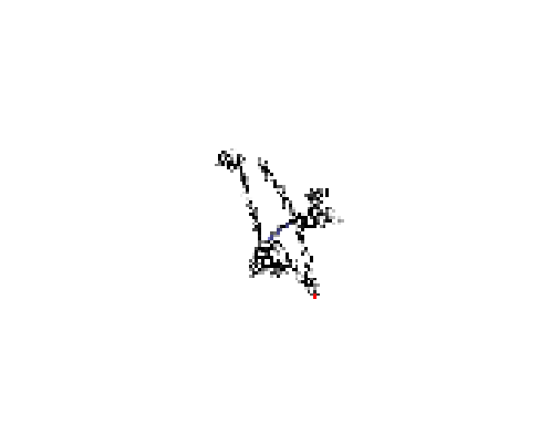 COCCOCCOCCOCC[N+]1=C(/C=C/C=C/C=C2/N(CCOCCOCCOCCOCCC(=O)ON3C(=O)CCC3=O)c3ccc4c(S(=O)(=O)[O-])cc(S(=O)(=O)O)cc4c3C2(C)CCOCCOCCOCCOC)C(C)(CCOCCOCCOCCOC)c2c1ccc1c(S(=O)(=O)O)cc(S(=O)(=O)O)cc21